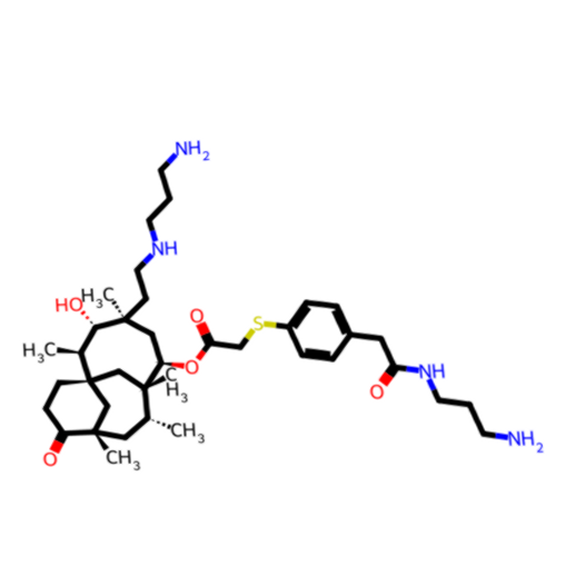 C[C@@H]1C[C@@]2(C)C[C@@]3(CCC2=O)C[C@]1(C)[C@H](OC(=O)CSc1ccc(CC(=O)NCCCN)cc1)C[C@](C)(CCNCCCN)[C@@H](O)[C@@H]3C